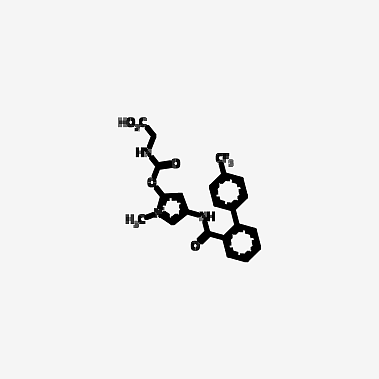 Cn1cc(NC(=O)c2ccccc2-c2ccc(C(F)(F)F)cc2)cc1OC(=O)NCC(=O)O